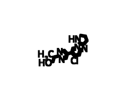 CC(CO)c1ncc(-c2cn3c4c(nc3cc2Cl)CCCN4)cn1